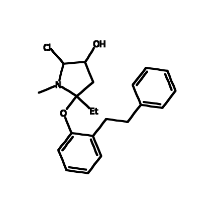 CCC1(Oc2ccccc2CCc2ccccc2)CC(O)C(Cl)N1C